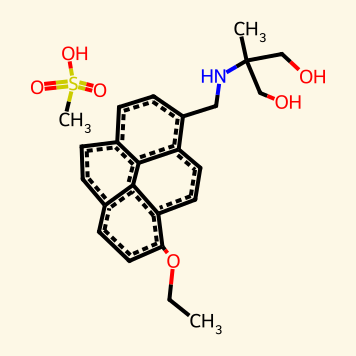 CCOc1ccc2ccc3ccc(CNC(C)(CO)CO)c4ccc1c2c34.CS(=O)(=O)O